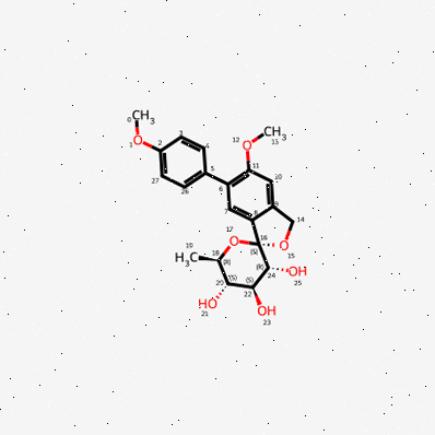 COc1ccc(-c2cc3c(cc2OC)CO[C@]32O[C@H](C)[C@@H](O)[C@H](O)[C@H]2O)cc1